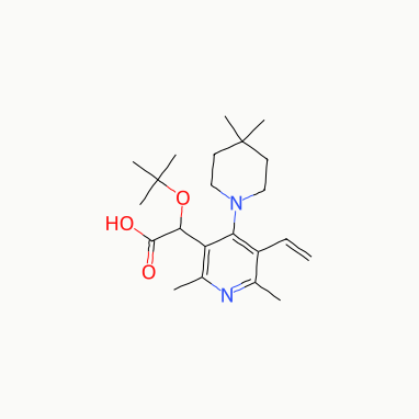 C=Cc1c(C)nc(C)c(C(OC(C)(C)C)C(=O)O)c1N1CCC(C)(C)CC1